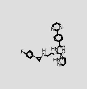 O=C(N[C@@H](CCCN[C@@H]1C[C@H]1c1ccc(F)cc1)C(=O)N1C=CC=NN1)c1ccc(-c2ncccn2)cc1